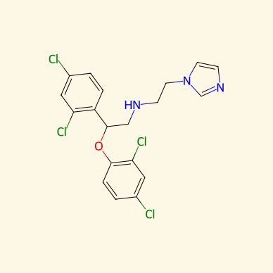 Clc1ccc(OC(CNCCn2ccnc2)c2ccc(Cl)cc2Cl)c(Cl)c1